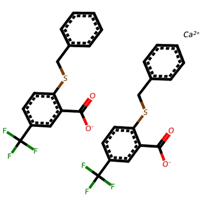 O=C([O-])c1cc(C(F)(F)F)ccc1SCc1ccccc1.O=C([O-])c1cc(C(F)(F)F)ccc1SCc1ccccc1.[Ca+2]